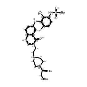 CCC(C)S(=O)(=O)Nc1ccc(F)c(Oc2ccc3ncn(CCN4CCN(C(=O)CC(C)(C)C)CC4)c(=O)c3c2)c1C#N